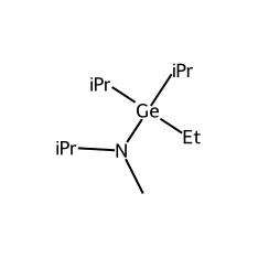 C[CH2][Ge]([CH](C)C)([CH](C)C)[N](C)C(C)C